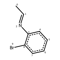 CC=Nc1ccccc1Br